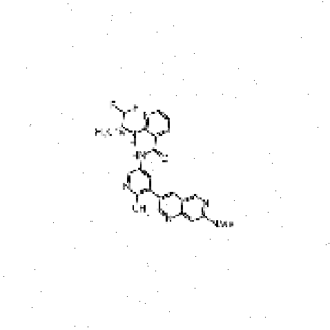 CNc1cc2ncc(-c3cc(NC(=O)c4cccnc4N[C@H](C)C(F)F)cnc3C)cc2cn1